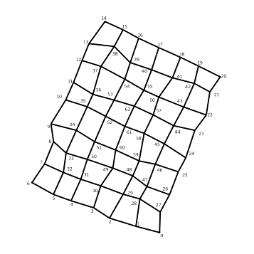 C1C2C3C4C5C6CC7C8C9C%10C%11C%12C%13CC%14C%15C%16C%17C%18CC%19C%20C%21C%22C%23C%24C1C21C32C43C54C67C85C96C%107C%118C%129C%14%13C%15%10C%16%11C%17%12C%18%19C%20%13C%21%14C%22%15C%23%16C%241C21C32C45C63C74C85C%109C%116C%12%13C%147C%158C%161C23C84C675